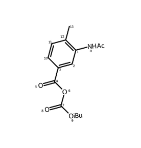 CC(=O)Nc1cc(C(=O)OC(=O)OCC(C)C)ccc1C